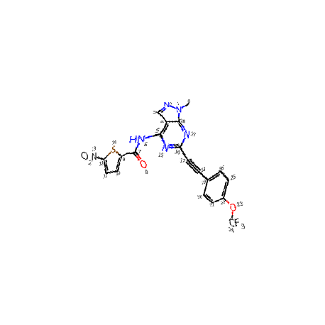 Cn1ncc2c(NC(=O)c3ccc([N+](=O)[O-])s3)nc(C#Cc3ccc(OC(F)(F)F)cc3)nc21